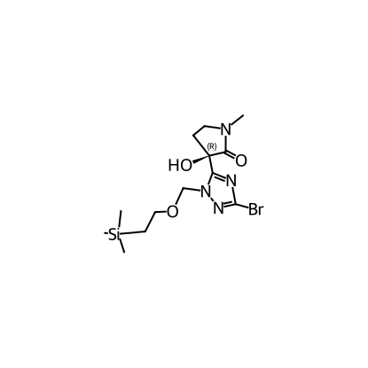 CN1CC[C@@](O)(c2nc(Br)nn2COCC[Si](C)(C)C)C1=O